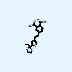 CCC1(c2cc(C=Cc3ccc(C(=O)O)c(C(=O)O)c3)cs2)OCCO1